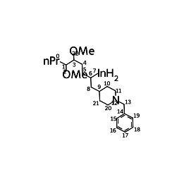 CCCC(OC)C(CC[CH]([InH2])CC1CCN(Cc2ccccc2)CC1)OC